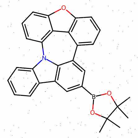 CC1(C)OB(c2cc3c4cccc5oc6cccc(c6c54)n4c5ccccc5c(c2)c34)OC1(C)C